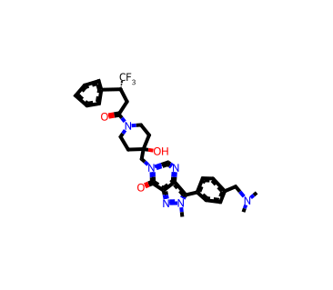 CN(C)Cc1ccc(-c2c3ncn(CC4(O)CCN(C(=O)C[C@H](c5ccccc5)C(F)(F)F)CC4)c(=O)c3nn2C)cc1